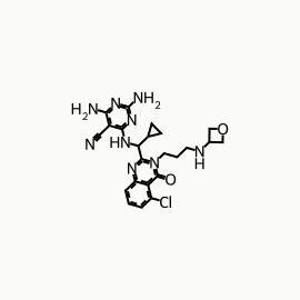 N#Cc1c(N)nc(N)nc1NC(c1nc2cccc(Cl)c2c(=O)n1CCCNC1COC1)C1CC1